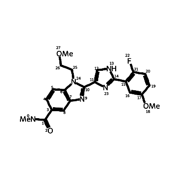 CNC(=O)c1ccc2c(c1)nc(-c1c[nH]c(-c3cc(OC)ccc3F)n1)n2CCOC